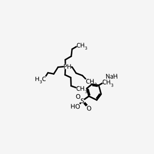 CCCC[PH](CCCC)(CCCC)CCCC.Cc1ccc(S(=O)(=O)O)cc1.[NaH]